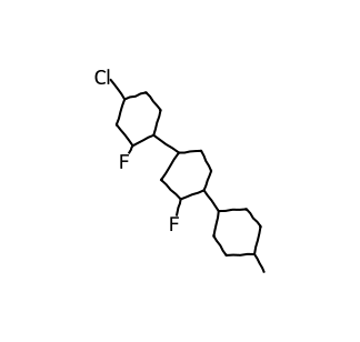 CC1CCC(C2CCC(C3CCC(Cl)CC3F)CC2F)CC1